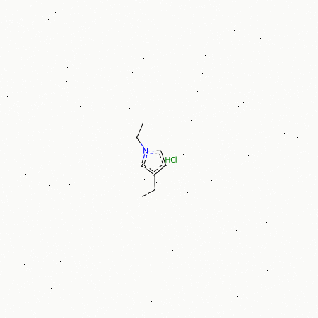 CCc1ccn(CC)c1.Cl